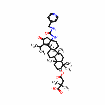 CC(C)C1=C2C3CCC4C5(C)CC[C@H](OC(=O)CC(C)(C)C(=O)O)C(C)(C)C5CC[C@@]4(C)[C@]3(C)CCC2(NC(=O)NCc2ccncc2)CC1=O